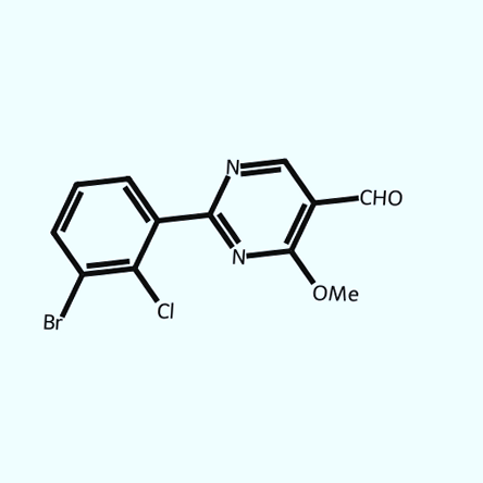 COc1nc(-c2cccc(Br)c2Cl)ncc1C=O